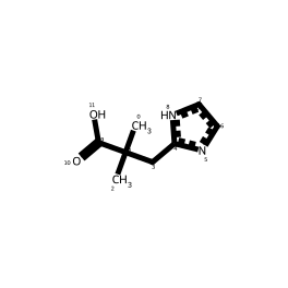 CC(C)(Cc1ncc[nH]1)C(=O)O